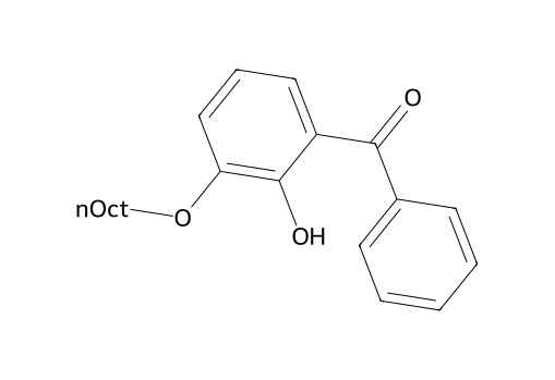 CCCCCCCCOc1cccc(C(=O)c2ccccc2)c1O